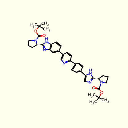 CC(C)(C)OC(=O)N1CCC[C@H]1c1ncc(-c2ccc(-c3ccc(-c4ccc5[nH]c([C@@H]6CCCN6C(=O)OC(C)(C)C)nc5c4)cn3)cc2)[nH]1